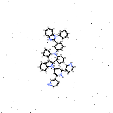 CN1C(C2=CNCC=C2)=CC(n2c3c(c4ccccc42)-c2ccccc2N(c2cccc(-c4nc5ccccc5n4-c4ccccc4)c2)C2=C3C=CCC2)=CC1c1cccnc1